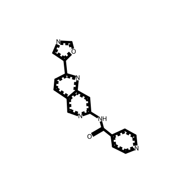 O=C(Nc1cc2nc(-c3cnco3)ccc2cn1)c1ccncc1